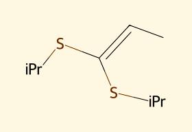 CC=C(SC(C)C)SC(C)C